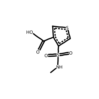 CNS(=O)(=O)c1cscc1C(=O)O